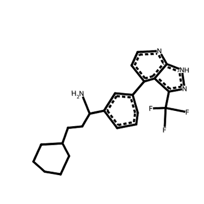 NC(CCC1CCCCC1)c1cccc(-c2ccnc3[nH]nc(C(F)(F)F)c23)c1